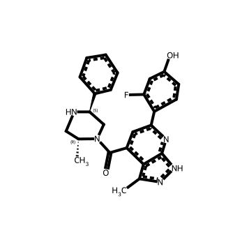 Cc1n[nH]c2nc(-c3ccc(O)cc3F)cc(C(=O)N3C[C@H](c4ccccc4)NC[C@H]3C)c12